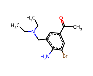 CCN(CC)Cc1cc(C(C)=O)cc(Br)c1N